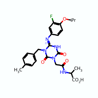 Cc1ccc(Cn2c(=O)n(CC(=O)NC(C)C(=O)O)c(=O)[nH]/c2=N\c2ccc(OC(C)C)c(F)c2)cc1